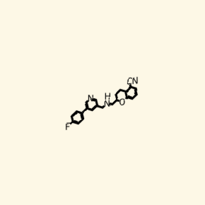 N#Cc1cccc2c1CCC(CNCc1cncc(-c3ccc(F)cc3)c1)O2